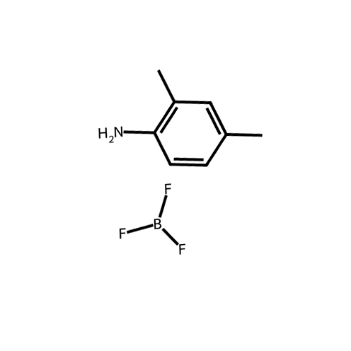 Cc1ccc(N)c(C)c1.FB(F)F